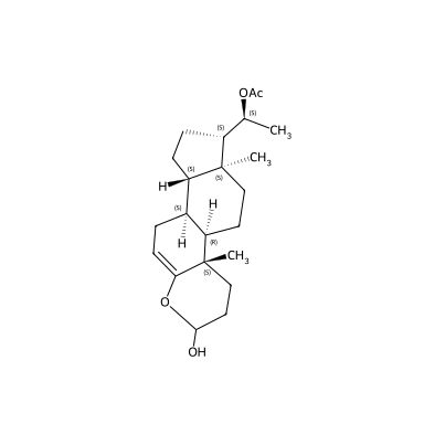 CC(=O)O[C@@H](C)[C@H]1CC[C@H]2[C@@H]3CC=C4OC(O)CC[C@@]4(C)[C@@H]3CC[C@]12C